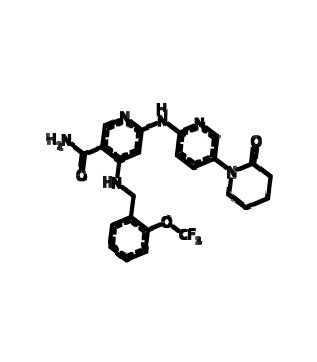 NC(=O)c1cnc(Nc2ccc(N3CCCCC3=O)cn2)cc1NCc1ccccc1OC(F)(F)F